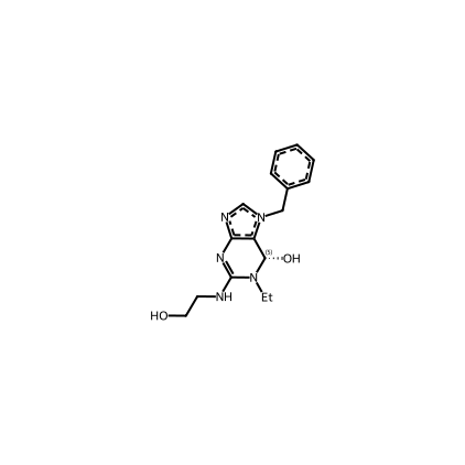 CCN1C(NCCO)=Nc2ncn(Cc3ccccc3)c2[C@@H]1O